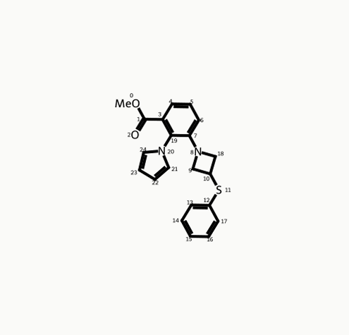 COC(=O)c1cccc(N2CC(Sc3ccccc3)C2)c1-n1cccc1